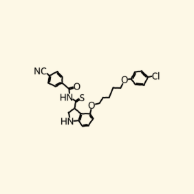 N#Cc1ccc(C(=O)NC(=S)C2CNc3cccc(OCCCCCOc4ccc(Cl)cc4)c32)cc1